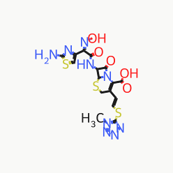 Cn1nnnc1S/C=C/C1=C(C(=O)O)N2C(=O)C(NC(=O)/C(=N\O)c3csc(N)n3)C2SC1